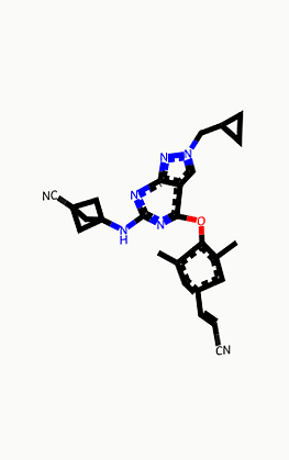 Cc1cc(/C=C/C#N)cc(C)c1Oc1nc(NC23CC(C#N)(C2)C3)nc2nn(CC3CC3)cc12